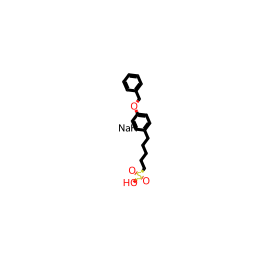 O=S(=O)(O)CCCCCc1ccc(OCc2ccccc2)cc1.[NaH]